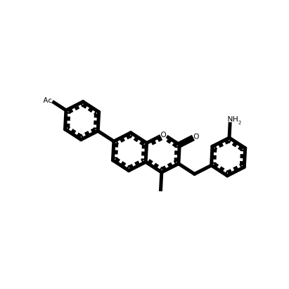 CC(=O)c1ccc(-c2ccc3c(C)c(Cc4cccc(N)c4)c(=O)oc3c2)cc1